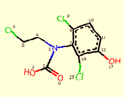 O=C(O)N(CCCl)c1c(Cl)ccc(O)c1Cl